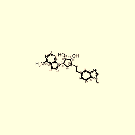 Cn1cnc2cc(CC[C@H]3C[C@@H](n4ccc5c(N)ncnc54)[C@H](O)[C@@H]3O)ccc21